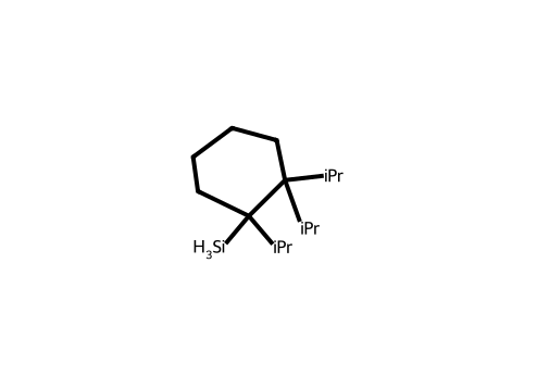 CC(C)C1([SiH3])CCCCC1(C(C)C)C(C)C